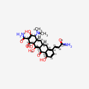 CN(C)[C@@H]1C(O)=C(C(N)=O)C(=O)[C@@]2(O)C(O)=C3C(=O)c4c(O)ccc(C=CC(N)=O)c4C[C@H]3C[C@@H]12